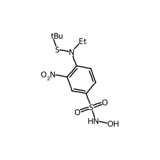 CCN(SC(C)(C)C)c1ccc(S(=O)(=O)NO)cc1[N+](=O)[O-]